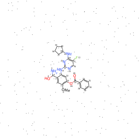 COc1cc(C(N)O)c(Nc2ncc(F)c(NC3CCCC3)n2)cc1OC(=O)c1ccccc1